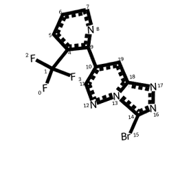 FC(F)(F)c1cccnc1-c1cnn2c(Br)nnc2c1